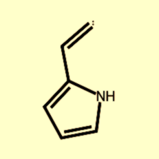 [C]=Cc1ccc[nH]1